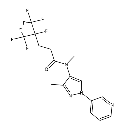 Cc1nn(-c2cccnc2)cc1N(C)C(=O)CCC(F)(C(F)(F)F)C(F)(F)F